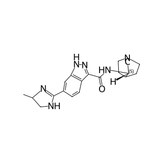 CC1CNC(c2ccc3c(C(=O)N[C@@H]4CN5CCC4CC5)n[nH]c3c2)=N1